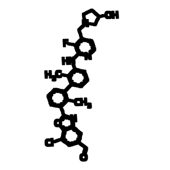 Cc1c(Nc2nccc(CN3CCC(O)C3)c2F)cccc1-c1cccc(-c2nc3cc(C=O)cc(Cl)c3o2)c1C